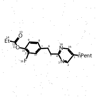 CCCCCc1cnc(CCc2ccc(OC(=O)CC)c(F)c2)nc1